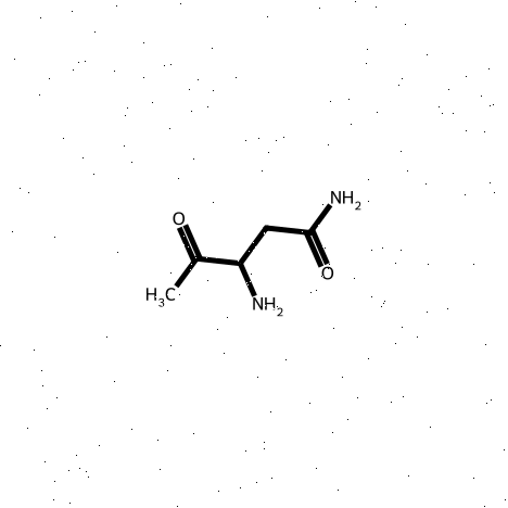 CC(=O)C(N)CC(N)=O